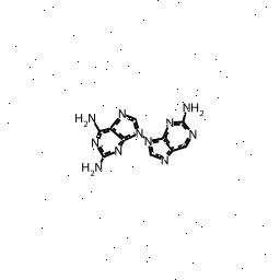 Nc1ncc2ncn(-n3cnc4c(N)nc(N)nc43)c2n1